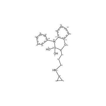 OS1(O)C(CCCNC2CC2)Oc2ccccc2N1c1ccccc1